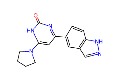 O=c1nc(-c2ccc3[nH]ncc3c2)cc(N2CCCC2)[nH]1